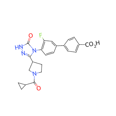 O=C(O)c1ccc(-c2ccc(-n3c(C4CCN(C(=O)C5CC5)C4)n[nH]c3=O)c(F)c2)cc1